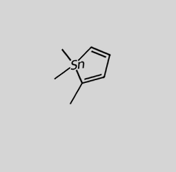 C[C]1=CC=[CH][Sn]1([CH3])[CH3]